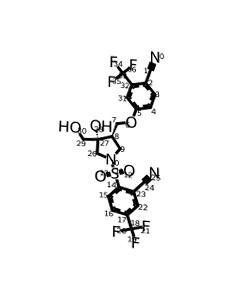 N#Cc1ccc(OC[C@H]2CN(S(=O)(=O)c3ccc(C(F)(F)F)cc3C#N)C[C@@]2(O)CO)cc1C(F)(F)F